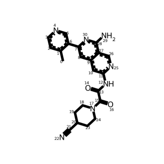 Cc1ccncc1-c1cc2cc(NC(=O)C(=O)N3CCC(C#N)CC3)ncc2c(N)n1